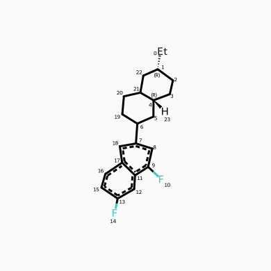 CC[C@@H]1CC[C@@H]2CC(c3cc(F)c4cc(F)ccc4c3)CCC2C1